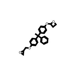 CC(c1ccccc1)(c1ccc(OCC2CO2)cc1)c1ccc(OC2CCO2)cc1